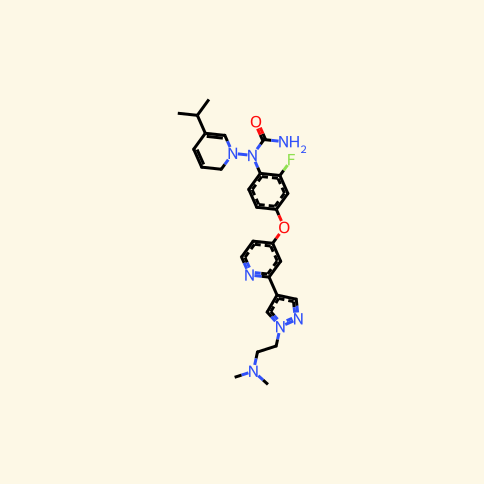 CC(C)C1=CN(N(C(N)=O)c2ccc(Oc3ccnc(-c4cnn(CCN(C)C)c4)c3)cc2F)CC=C1